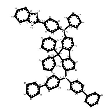 c1ccc(-c2ccc(N(c3ccc(-c4ccccc4)cc3)c3ccc4c(c3)C(c3ccccc3)(c3ccccc3)c3cc(N(c5ccccc5)c5ccc(-c6nc7ccccc7o6)cc5)ccc3-4)cc2)cc1